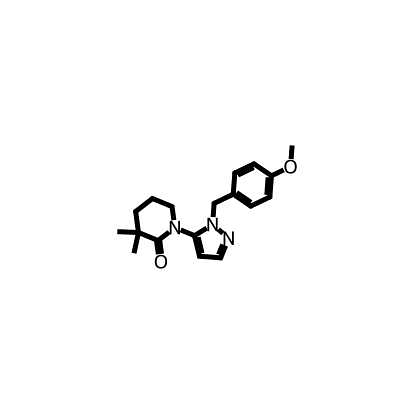 COc1ccc(Cn2nccc2N2CCCC(C)(C)C2=O)cc1